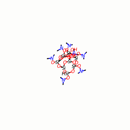 CN(C)O[SiH]1O[Si]2(C)O[Si]3(ON(C)C)O[Si](O)(ON(C)C)O[Si]4(ON(C)C)O[Si](ON(C)C)(O1)O[Si](ON(C)C)(O2)O[Si](ON(C)C)(O3)O4